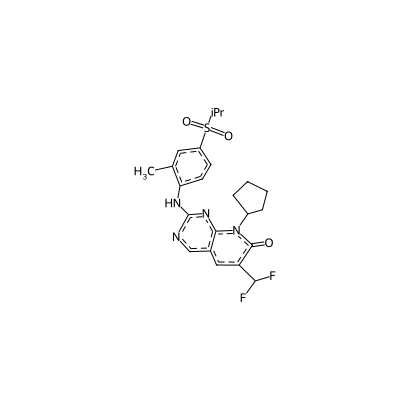 Cc1cc(S(=O)(=O)C(C)C)ccc1Nc1ncc2cc(C(F)F)c(=O)n(C3CCCC3)c2n1